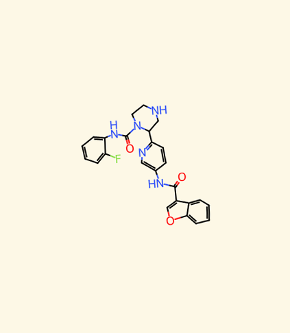 O=C(Nc1ccc(C2CNCCN2C(=O)Nc2ccccc2F)nc1)c1coc2ccccc12